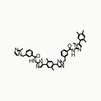 Cc1cc(C)c(-c2cnc(NC(=O)c3cccc(Cn4ncc(-c5cc(C)c(-c6cnc(NC(=O)c7cccc(Cn8ccnc8C)c7)n6C)cc5C)n4)c3)n2C)cc1C